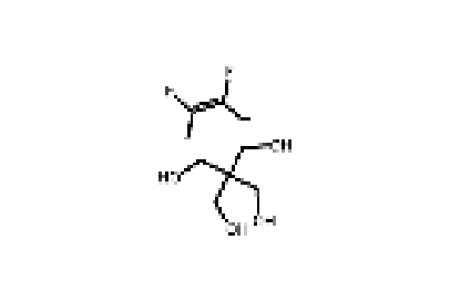 FC(F)=C(F)F.OCC(CO)(CO)CO